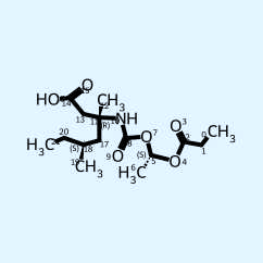 CCC(=O)O[C@H](C)OC(=O)N[C@@](C)(CC(=O)O)C[C@@H](C)CC